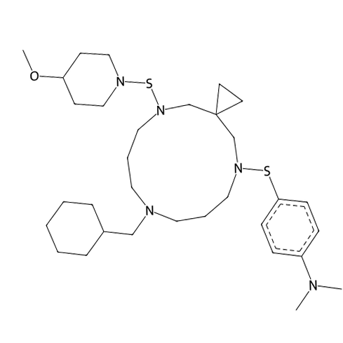 COC1CCN(SN2CCCN(CC3CCCCC3)CCCN(Sc3ccc(N(C)C)cc3)CC3(CC3)C2)CC1